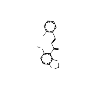 COc1ccc2c(c1C(=O)C=Cc1ccccc1Cl)SCO2